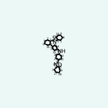 c1ccc(-c2nc3ccccc3s2)c(-c2ccc(Nc3ccc(-c4nc5ccccc5o4)cc3)cc2)c1